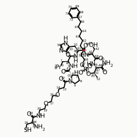 CC(C)C[C@H](NC(=O)[C@@H]1CCCN1C(=O)CCOCCOCCNC(=O)[C@@H](N)CS)C(=O)N[C@@H](Cc1cnc[nH]1)C(=O)N[C@@H](CO)C(=O)N[C@H](C(N)=O)[C@@H](C)OP(=O)(O)OCCCCCCCCCc1ccccc1